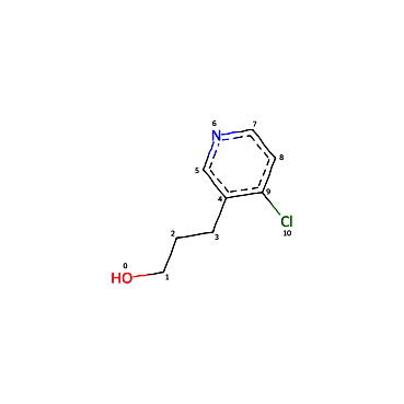 OCCCc1cnccc1Cl